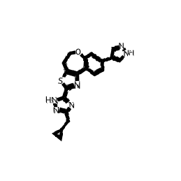 c1cc2c(cc1-c1cn[nH]c1)OCCc1sc(-c3nc(CC4CC4)n[nH]3)nc1-2